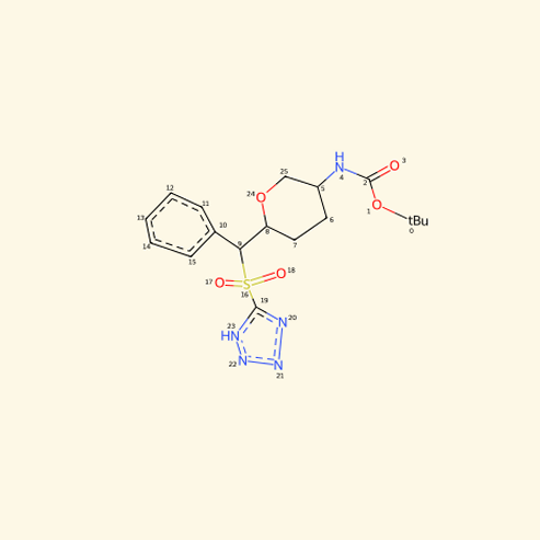 CC(C)(C)OC(=O)NC1CCC(C(c2ccccc2)S(=O)(=O)c2nnn[nH]2)OC1